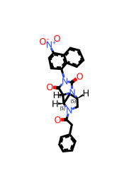 O=C1[C@H]2[C@@H]3C[C@@H](CN3C(=O)Cc3ccccc3)N2C(=O)N1c1ccc([N+](=O)[O-])c2ccccc12